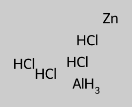 Cl.Cl.Cl.Cl.[AlH3].[Zn]